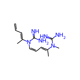 C=C/C=C(\C)N(/C=C\C=C(/C)N(C)C(=N)N)C(=N)N